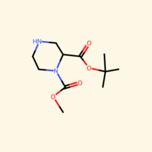 COC(=O)N1CCNCC1C(=O)OC(C)(C)C